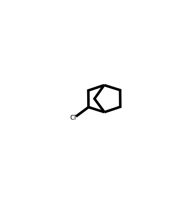 ClC1C[C]2CCC1C2